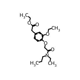 CCCN(CC)C(=O)COc1ccc(CC(=O)OCC)cc1OCC